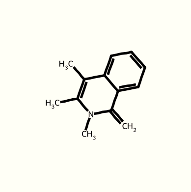 C=C1c2ccccc2C(C)=C(C)N1C